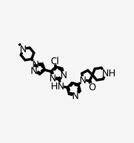 CN1CCC(n2cc(-c3nc(Nc4cncc(N5CCC6(CCNCC6)C5=O)c4)ncc3Cl)cn2)CC1